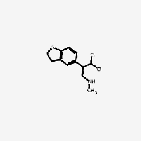 CNCC(c1ccc2c(c1)CCS2)C(Cl)Cl